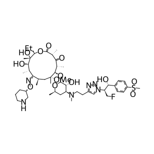 CC[C@H]1OC(=O)[C@H](C)C(=O)[C@H](C)[C@@H](O[C@@H]2O[C@H](C)C[C@H](N(C)CCc3cn([C@H](CF)[C@H](O)c4ccc(S(C)(=O)=O)cc4)nn3)[C@H]2O)[C@](C)(OC)C[C@@H](C)/C(=N\O[C@@H]2CCCNC2)[C@H](C)[C@@H](O)[C@]1(C)O